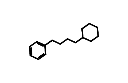 [c]1ccccc1CCCCC1CCCCC1